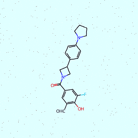 O=Cc1cc(C(=O)N2CC(c3ccc(N4CCCC4)cc3)C2)cc(F)c1O